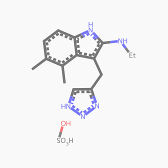 CCNc1[nH]c2ccc(C)c(C)c2c1Cc1c[nH]nn1.O=S(=O)(O)O